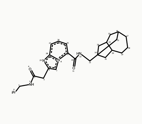 CC(C)CNC(=O)Cc1cn2c(C(=O)NCC34CC5CCCC(C3)C(C5)C4)cccc2n1